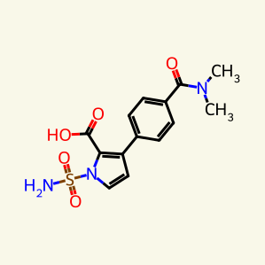 CN(C)C(=O)c1ccc(-c2ccn(S(N)(=O)=O)c2C(=O)O)cc1